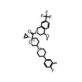 COC1CN(C(=O)[C@@]2(C3CC3)CCC(N3CCC(c4ccc(F)c(C)c4)CC3)CO2)Cc2cc(C(F)(F)F)ccc21